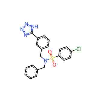 O=S(=O)(c1ccc(Cl)cc1)N(Cc1ccccc1)Cc1cccc(-c2nnn[nH]2)c1